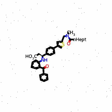 CCCCCCCC(=O)N(C)Cc1cc(-c2ccc([C@H](CC(=O)O)Nc3ccccc3C(=O)c3ccccc3)cc2)cs1